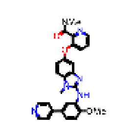 CNC(=O)c1ncccc1Oc1ccc2c(c1)nc(Nc1cc(-c3ccncc3)ccc1OC)n2C